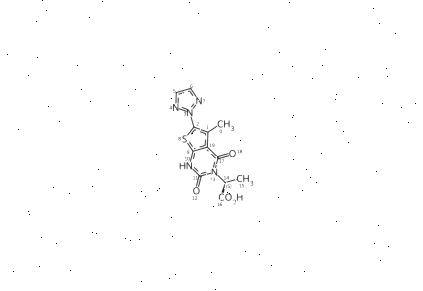 Cc1c(-n2nccn2)sc2[nH]c(=O)n([C@@H](C)C(=O)O)c(=O)c12